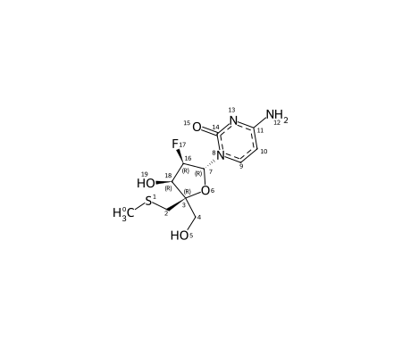 CSC[C@]1(CO)O[C@@H](n2ccc(N)nc2=O)[C@H](F)[C@@H]1O